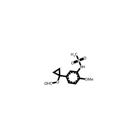 COc1ccc(C2(OC=O)CC2)cc1NS(C)(=O)=O